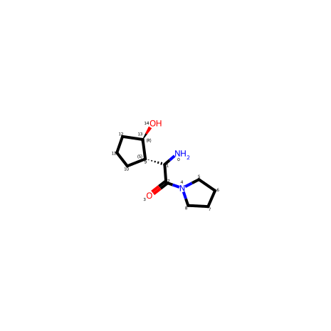 NC(C(=O)N1CCCC1)[C@@H]1CCC[C@H]1O